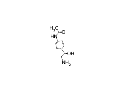 CC(=O)Nc1ccc([C@@H](O)CN)cc1